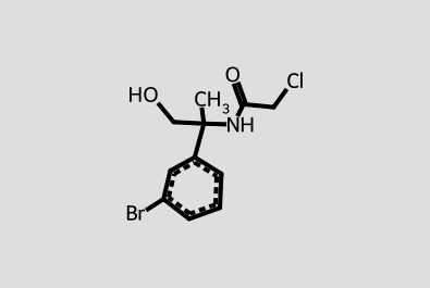 CC(CO)(NC(=O)CCl)c1cccc(Br)c1